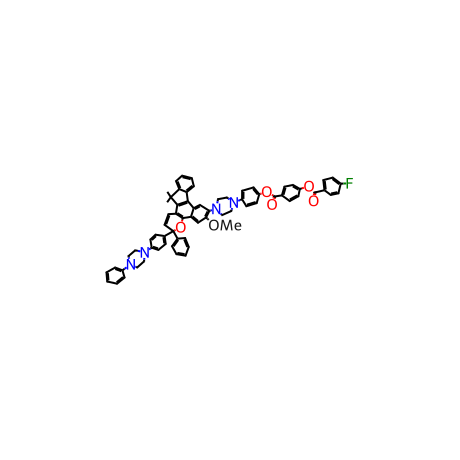 COc1cc2c3c(c4c(c2cc1N1CCN(c2ccc(OC(=O)c5ccc(OC(=O)c6ccc(F)cc6)cc5)cc2)CC1)-c1ccccc1C4(C)C)C=CC(c1ccccc1)(c1ccc(N2CCN(c4ccccc4)CC2)cc1)O3